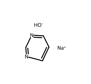 [Na+].[OH-].c1cncnc1